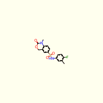 Cc1cc(NS(=O)(=O)c2ccc3c(c2)COC(=O)N3C)ccc1F